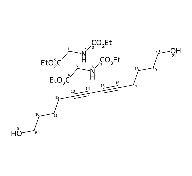 CCOC(=O)CNC(=O)OCC.CCOC(=O)CNC(=O)OCC.OCCCCC#CC#CCCCCO